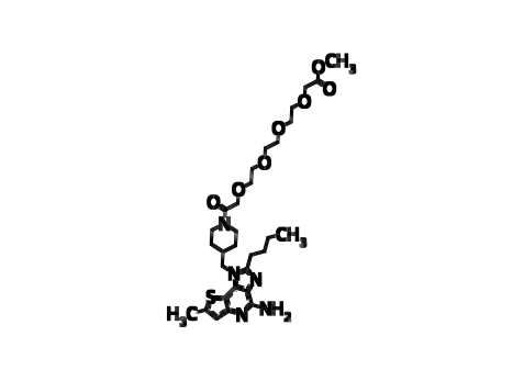 CCCCc1nc2c(N)nc3cc(C)sc3c2n1CC1CCN(C(=O)COCCOCCOCCOCC(=O)OC)CC1